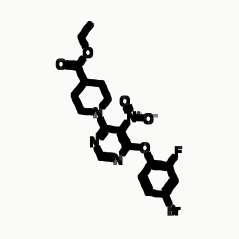 CCOC(=O)C1CCN(c2ncnc(Oc3ccc(Br)cc3F)c2[N+](=O)[O-])CC1